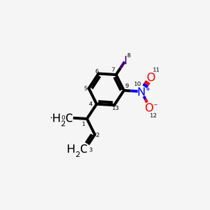 [CH2]C(C=C)c1ccc(I)c([N+](=O)[O-])c1